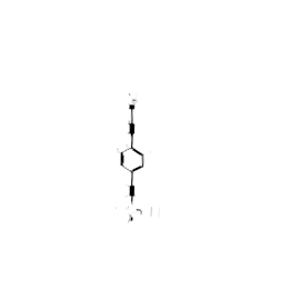 C[Si](C)(C)C#Cc1ccc(C#CC#N)cc1